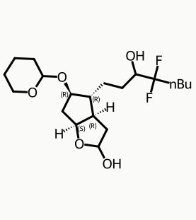 CCCCC(F)(F)C(O)CC[C@@H]1[C@H]2CC(O)O[C@H]2C[C@H]1OC1CCCCO1